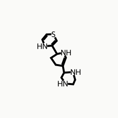 C1=CSC=C(C2CCC(C3CNCCN3)=CN2)N1